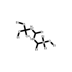 CCOC(C)(OCC)[SiH2]C(CC)NC(CC)[Si](CC)(CC)OCC